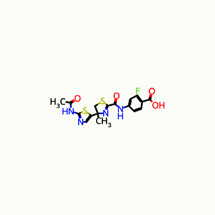 CC(=O)Nc1ncc(C2(C)CSC(C(=O)Nc3ccc(C(=O)O)c(F)c3)=N2)s1